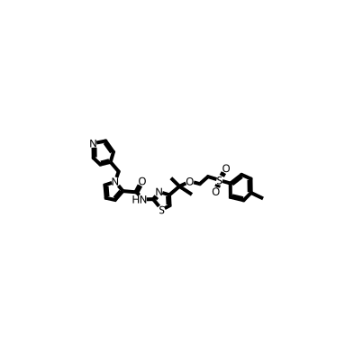 Cc1ccc(S(=O)(=O)CCOC(C)(C)c2csc(NC(=O)c3cccn3Cc3ccncc3)n2)cc1